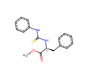 COC(=O)[C@H](Cc1ccccc1)NC(=S)Nc1ccccc1